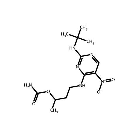 CC(CCNc1nc(NC(C)(C)C)ncc1[N+](=O)[O-])OC(N)=O